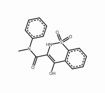 CN(C(=O)C1=C(O)c2ccccc2S(=O)(=O)N1)c1ccccc1